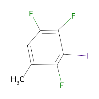 Cc1cc(F)c(F)c(I)c1F